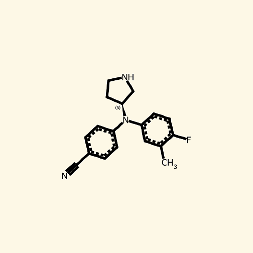 Cc1cc(N(c2ccc(C#N)cc2)[C@H]2CCNC2)ccc1F